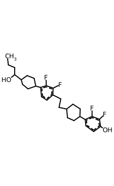 CCCC(O)C1CCC(c2ccc(CCC3CCC(c4ccc(O)c(F)c4F)CC3)c(F)c2F)CC1